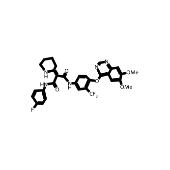 COc1cc2ncnc(Oc3ccc(NC(=O)/C(C(=O)Nc4ccc(F)cc4)=C4\CCCCN4)cc3C(F)(F)F)c2cc1OC